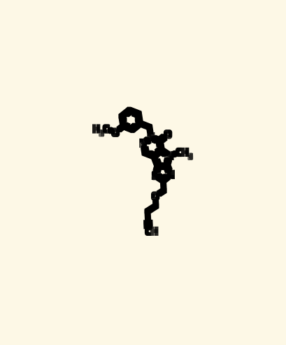 C#CCCOCc1nc2c(s1)c1cnn(Cc3cccc(OC)c3)c(=O)c1n2C